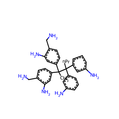 CCCC(c1cccc(N)c1)(c1cccc(N)c1)C(C)(c1ccc(CN)c(N)c1)c1ccc(CN)c(N)c1